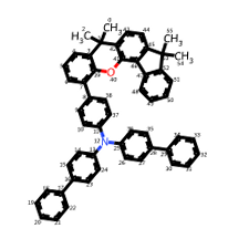 CC1(C)c2cccc(-c3ccc(N(c4ccc(-c5ccccc5)cc4)c4ccc(-c5ccccc5)cc4)cc3)c2Oc2c1ccc1c2-c2ccccc2C1(C)C